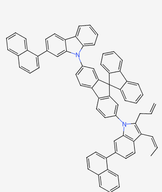 C=CCc1c(/C=C\C)c2ccc(-c3cccc4ccccc34)cc2n1-c1ccc2c(c1)C1(c3ccccc3-c3ccccc31)c1cc(-n3c4ccccc4c4ccc(-c5cccc6ccccc56)cc43)ccc1-2